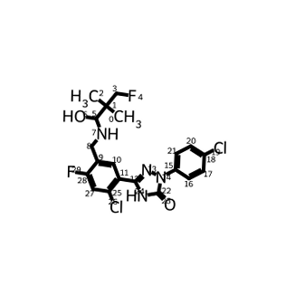 CC(C)(CF)C(O)NCc1cc(-c2nn(-c3ccc(Cl)cc3)c(=O)[nH]2)c(Cl)cc1F